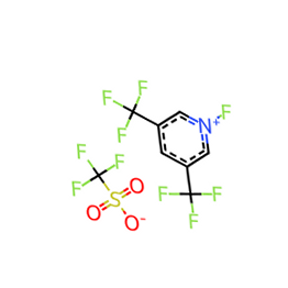 F[n+]1cc(C(F)(F)F)cc(C(F)(F)F)c1.O=S(=O)([O-])C(F)(F)F